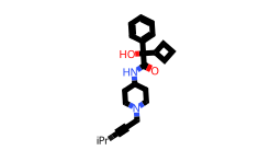 CC(C)C#CCN1CCC(NC(=O)C(O)(c2ccccc2)C2CCC2)CC1